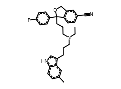 CCN(CCCc1c[nH]c2ccc(C)cc12)CCCC1(c2ccc(F)cc2)OCc2cc(C#N)ccc21